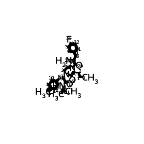 CCC[C@H]1C(=O)N([C@@H](Cc2ccc(C)cc2)C(=O)NC(C)C)CCN1C(=O)[C@H](N)Cc1ccc(F)cc1